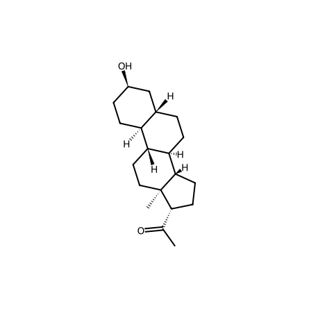 CC(=O)[C@H]1CC[C@H]2[C@@H]3CC[C@H]4C[C@H](O)CC[C@@H]4[C@H]3CC[C@]12C